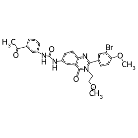 COCCn1c(-c2ccc(OC)c(Br)c2)nc2ccc(NC(=O)Nc3cccc(C(C)=O)c3)cc2c1=O